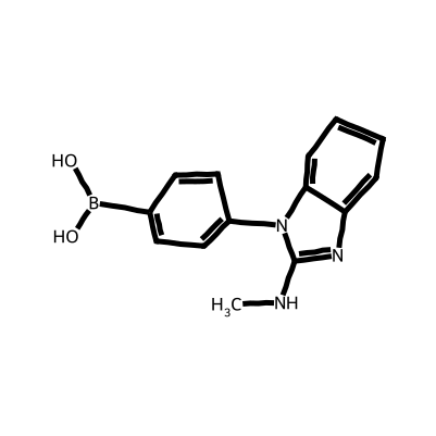 CNc1nc2ccccc2n1-c1ccc(B(O)O)cc1